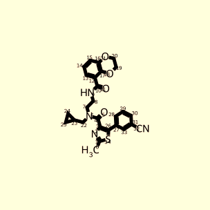 Cc1nc(C(=O)N(CCNC(=O)c2cccc3c2OCCO3)CC2CC2)c(-c2cccc(C#N)c2)s1